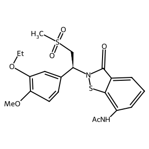 CCOc1cc([C@@H](CS(C)(=O)=O)n2sc3c(NC(C)=O)cccc3c2=O)ccc1OC